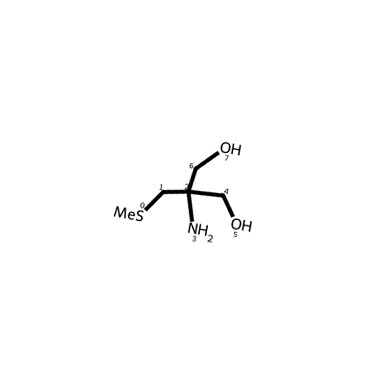 CSCC(N)(CO)CO